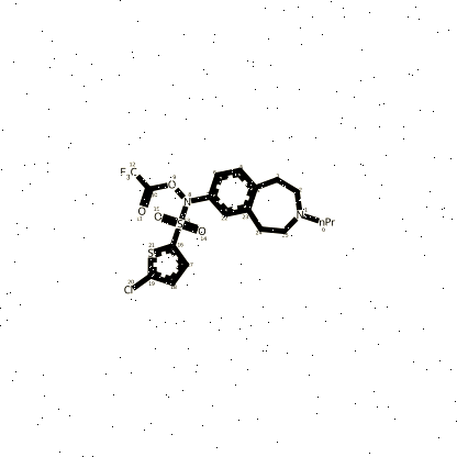 CCCN1CCc2ccc(N(OC(=O)C(F)(F)F)S(=O)(=O)c3ccc(Cl)s3)cc2CC1